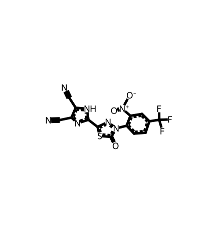 N#Cc1nc(-c2nn(-c3ccc(C(F)(F)F)cc3[N+](=O)[O-])c(=O)s2)[nH]c1C#N